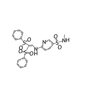 CNS(=O)(=O)c1ccc(NC=C(S(=O)(=O)c2ccccc2)S(=O)(=O)c2ccccc2)nc1